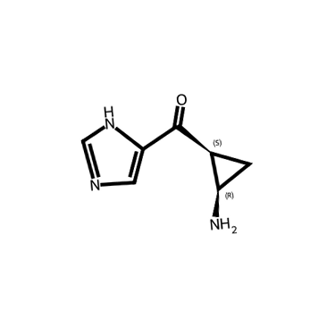 N[C@@H]1C[C@@H]1C(=O)c1cnc[nH]1